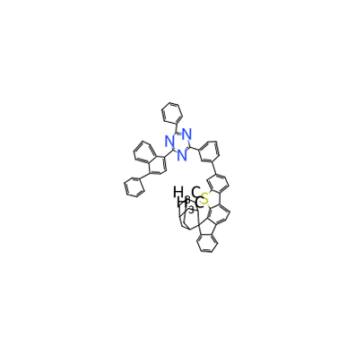 CS1(C)c2cc(-c3cccc(-c4nc(-c5ccccc5)nc(-c5ccc(-c6ccccc6)c6ccccc56)n4)c3)ccc2-c2ccc3c(c21)C1(c2ccccc2-3)C2CC3CC(C2)CC1C3